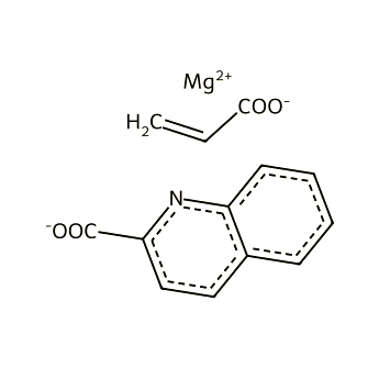 C=CC(=O)[O-].O=C([O-])c1ccc2ccccc2n1.[Mg+2]